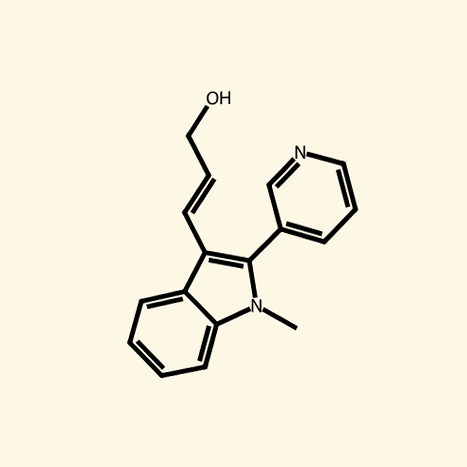 Cn1c(-c2cccnc2)c(C=CCO)c2ccccc21